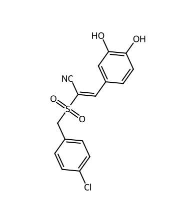 N#C/C(=C\c1ccc(O)c(O)c1)S(=O)(=O)Cc1ccc(Cl)cc1